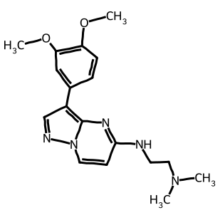 COc1ccc(-c2cnn3ccc(NCCN(C)C)nc23)cc1OC